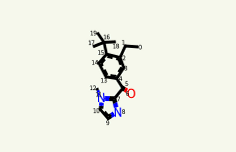 CCc1cc(C(=O)c2nccn2C)ccc1C(C)(C)C